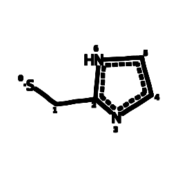 [S]Cc1ncc[nH]1